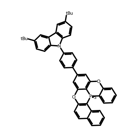 CC(C)(C)c1ccc2c(c1)c1cc(C(C)(C)C)ccc1n2-c1ccc(-c2cc3c4c(c2)Oc2ccc5ccccc5c2P4(=S)c2ccccc2O3)cc1